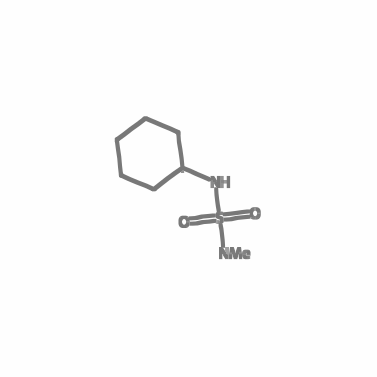 CNS(=O)(=O)N[C]1CCCCC1